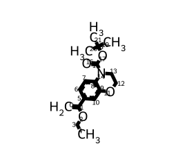 C=C(OCC)c1ccc2c(c1)OCCN2C(=O)OC(C)(C)C